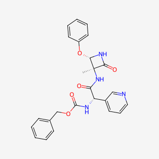 C[C@@]1(NC(=O)[C@@H](NC(=O)OCc2ccccc2)c2cccnc2)C(=O)N[C@H]1Oc1ccccc1